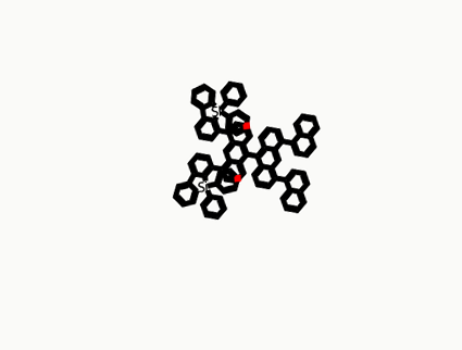 c1ccc([Si]2(c3ccccc3)c3ccccc3-c3cccc(-c4cccc5c(-c6c7cccc(-c8cccc9ccccc89)c7cc7c(-c8cccc9ccccc89)cccc67)c6cccc(-c7cccc8c7[Si](c7ccccc7)(c7ccccc7)c7ccccc7-8)c6cc45)c32)cc1